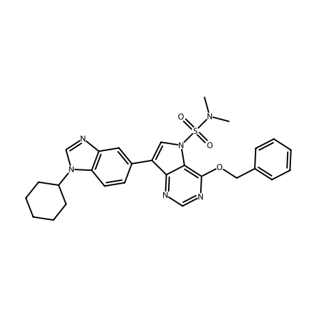 CN(C)S(=O)(=O)n1cc(-c2ccc3c(c2)ncn3C2CCCCC2)c2ncnc(OCc3ccccc3)c21